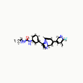 Cc1cc(-c2ccn3c(-c4cccc(NC(=O)NCC(F)(F)F)c4)cnc3c2)cnc1F